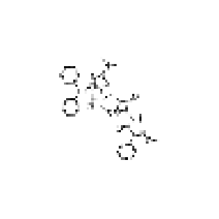 CON=C(C(=O)NC1C(=O)N2CC(C(=O)OC(c3ccccc3)c3ccccc3)(c3nnc(N(C)C)s3)CS[C@H]12)c1ccccc1